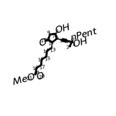 CCCCC[C@](C)(O)C#C[C@@H]1[C@H](O)CC(=O)[C@@H]1CCCCCCC(=O)OC